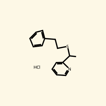 CC(SCCc1ccccc1)c1ccccn1.Cl